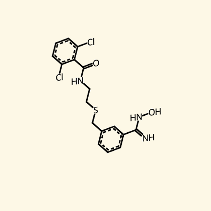 N=C(NO)c1cccc(CSCCNC(=O)c2c(Cl)cccc2Cl)c1